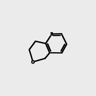 b1cccc2c1CCOC2